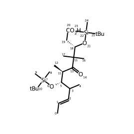 C/C=C/C(C)[C@H](O[Si](C)(C)C(C)(C)C)[C@@H](C)C(=O)C(C)(C)[C@H](CC(=O)O)O[Si](C)(C)C(C)(C)C